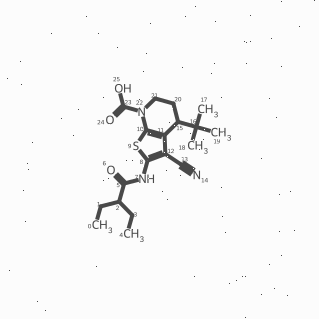 CCC(CC)C(=O)Nc1sc2c(c1C#N)C(C(C)(C)C)CCN2C(=O)O